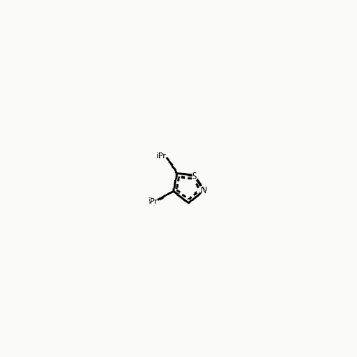 CC(C)c1cnsc1C(C)C